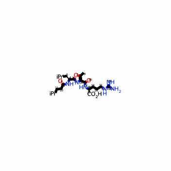 Cc1oc([C@H](CC(C)C)NC(=O)CCC(C)C)nc1C(=O)N[C@@H](CCCNC(=N)N)C(=O)O